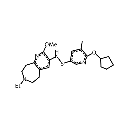 CCN1CCc2cc(NSc3cnc(OC4CCCC4)c(C)c3)c(OC)nc2CC1